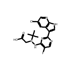 CC(C)(C)N(CC(=O)O)Nc1nc(-c2c[nH]c3ncc(Cl)cc23)ncc1F